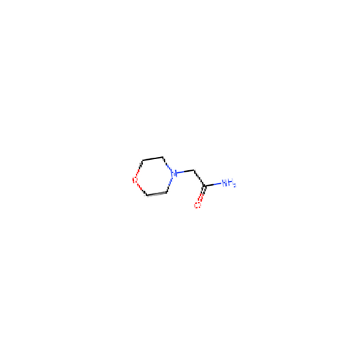 NC(=O)CN1C[CH]OCC1